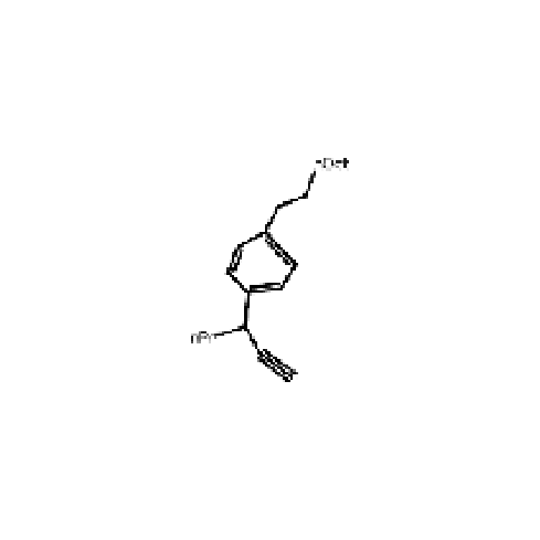 [C]#CC(CCC)c1ccc(CCCCCCCCCC)cc1